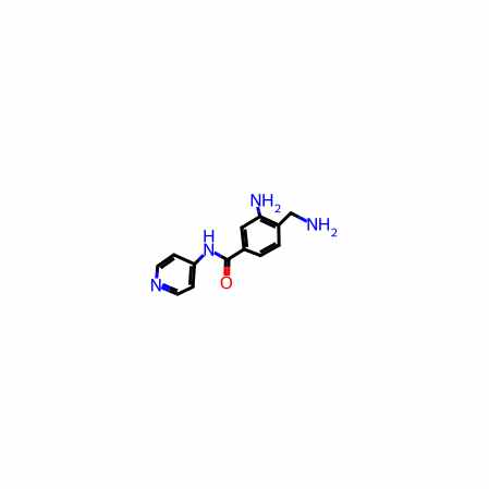 NCc1ccc(C(=O)Nc2ccncc2)cc1N